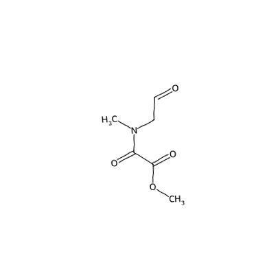 COC(=O)C(=O)N(C)CC=O